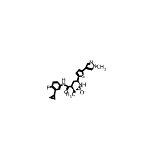 CN1C(C(=O)Nc2ccc(F)c(C3CC3)c2)CC(c2ccc(-c3cnn(C)c3)s2)N[S+]1[O-]